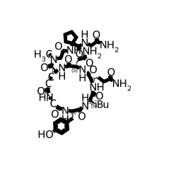 CC[C@H](C)[C@@H]1NC(=O)[C@H](Cc2ccc(O)cc2)NC(=O)CNC(=O)CC[C@@H](C(=O)N(C)CC(=O)NC2(C(=O)NCC(N)=O)CCCC2)NC(=O)[C@H](CC(N)=O)NC(=O)[C@H](CCC(N)=O)NC1=O